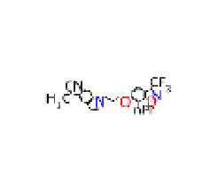 CCCc1c(OCCCn2ccc3cc(C(C)C#N)ccc32)ccc2c(C(F)(F)F)noc12